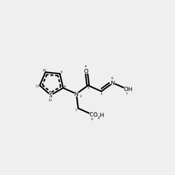 O=C(O)CN(C(=O)C=NO)c1cccs1